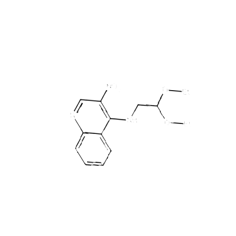 CCOC(CNc1c([N+](=O)[O-])cnc2ccccc12)OCC